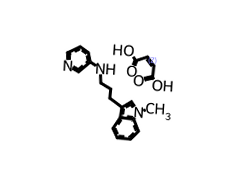 Cn1cc(CCCNc2cccnc2)c2ccccc21.O=C(O)/C=C\C(=O)O